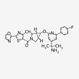 Cc1nc(-c2ncco2)sc1C(=O)N1C[C@@H]2C(Oc3cc(C(C)(C)N)cc(-c4ccc(F)cc4)n3)[C@@H]2C1